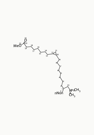 CCCCCCCCCC(CCCCCCCCC1CC1CCCCCCCC(=O)OC)CN(C)C